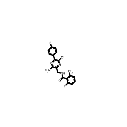 Nc1nc(-c2ccc(F)cc2)c(Cl)nc1CNC(=O)c1c(F)cccc1C(F)(F)F